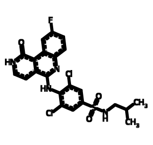 CC(C)CNS(=O)(=O)c1cc(Cl)c(Nc2nc3ccc(F)cc3c3c(=O)[nH]ccc23)c(Cl)c1